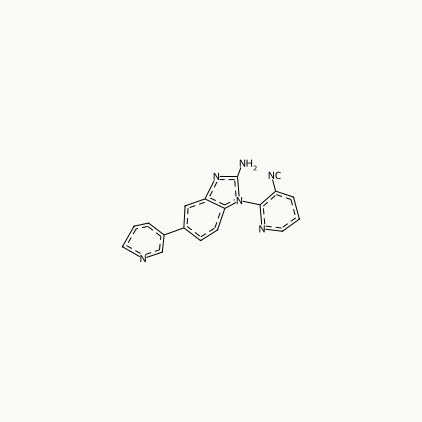 [C-]#[N+]c1cccnc1-n1c(N)nc2cc(-c3cccnc3)ccc21